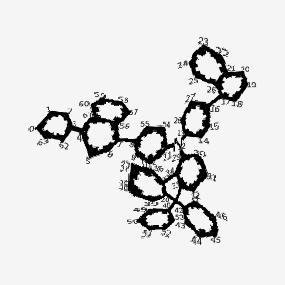 c1ccc(-c2ccc(-c3ccc(N(c4ccc(-c5cccc6ccccc56)cc4)c4cccc5c4-c4ccccc4C5(c4ccccc4)c4ccccc4)cc3)c3ccccc23)cc1